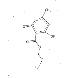 Cc1cc(O)c(C(=O)OCCC(F)(F)F)c(=O)o1